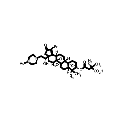 CC(=O)N1CCN(C[C@@H](O)[C@@]23CC[C@]4(C)[C@H](CC[C@@H]5[C@@]6(C)CC[C@H](OC(=O)CC(C)(C)C(=O)O)C(C)(C)[C@@H]6CC[C@]54C)C2=C(C(C)C)C(=O)C3)CC1